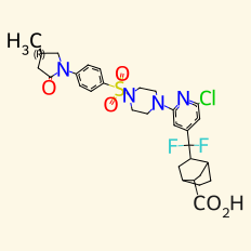 C[C@@H]1CC(=O)N(c2ccc(S(=O)(=O)N3CCN(c4cc(C(F)(F)C5CC6CCC5CC6C(=O)O)cc(Cl)n4)CC3)cc2)C1